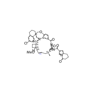 CO[C@H]1/C=C/C[C@H](C)C[S@@](=O)(NC(=O)c2cc3n(c2)C(=O)CCC3)=NC(=O)c2ccc3c(c2)N(C[C@@H]2CC[C@H]21)C[C@@]1(CCCc2cc(Cl)ccc21)CO3